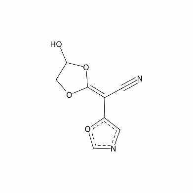 N#C/C(=C1/OCC(O)O1)c1cnco1